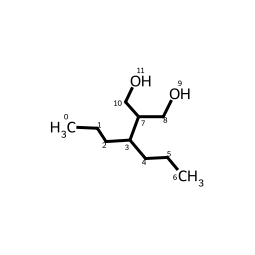 CCCC(CCC)C(CO)CO